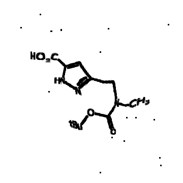 CN(Cc1cc(C(=O)O)[nH]n1)C(=O)OC(C)(C)C